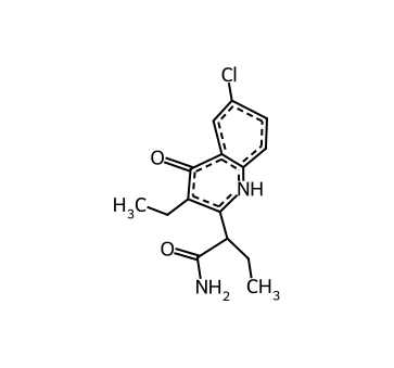 CCc1c(C(CC)C(N)=O)[nH]c2ccc(Cl)cc2c1=O